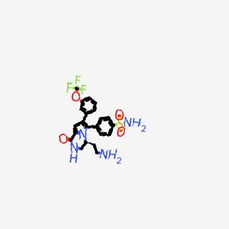 NCC[C@H]1CNC(=O)c2cc(-c3cccc(OC(F)(F)F)c3)c(-c3ccc(S(N)(=O)=O)cc3)n21